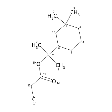 CC1(C)CCCC(C(C)(C)OC(=O)CCl)C1